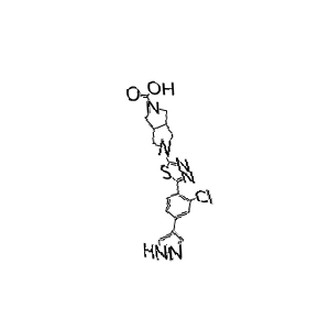 O=C(O)N1CC2CN(c3nnc(-c4ccc(-c5cn[nH]c5)cc4Cl)s3)CC2C1